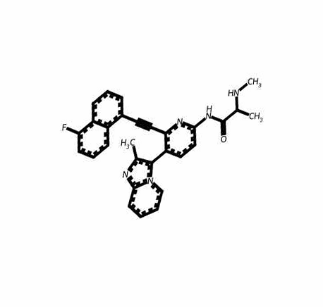 CNC(C)C(=O)Nc1ccc(-c2c(C)nc3ccccn23)c(C#Cc2cccc3c(F)cccc23)n1